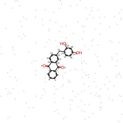 O=C1c2ccccc2C(=O)c2cc(Cc3ccc(O)cc3O)ccc21